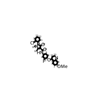 COc1ccc2c(Oc3ccc(NC(=O)c4c(C)n(C)n(-c5ccccc5Cl)c4=O)cc3F)ccnc2c1